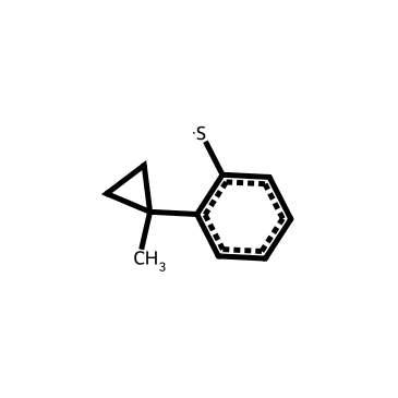 CC1(c2ccccc2[S])CC1